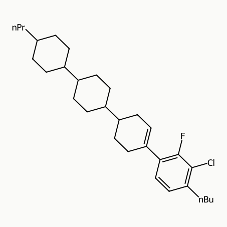 CCCCc1ccc(C2=CCC(C3CCC(C4CCC(CCC)CC4)CC3)CC2)c(F)c1Cl